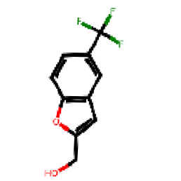 OCc1cc2cc(C(F)(F)F)ccc2o1